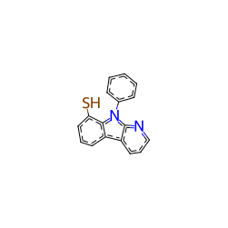 Sc1cccc2c3cccnc3n(-c3ccccc3)c12